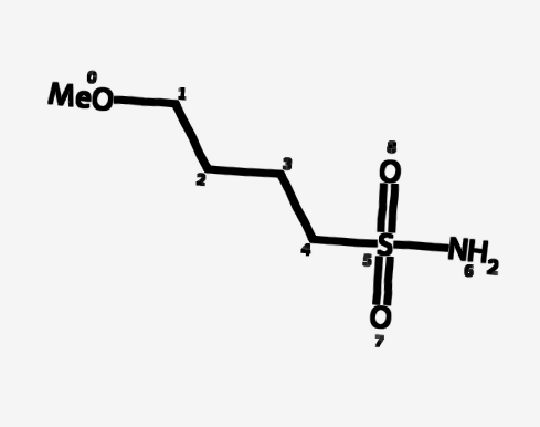 COCCCCS(N)(=O)=O